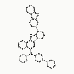 c1ccc(-c2ccc(N(c3ccccc3)c3cc4c5cccc(-c6ccc7c(c6)oc6ccccc67)c5oc4c4ccccc34)cc2)cc1